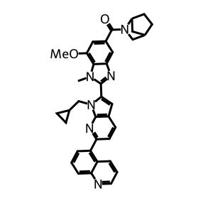 COc1cc(C(=O)N2CC3CCC2C3)cc2nc(-c3cc4ccc(-c5cccc6ncccc56)nc4n3CC3CC3)n(C)c12